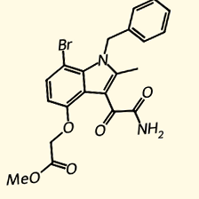 COC(=O)COc1ccc(Br)c2c1c(C(=O)C(N)=O)c(C)n2Cc1ccccc1